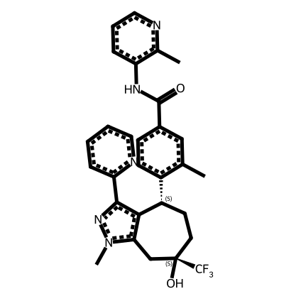 Cc1cc(C(=O)Nc2cccnc2C)ccc1[C@@H]1CC[C@@](O)(C(F)(F)F)Cc2c1c(-c1ccccn1)nn2C